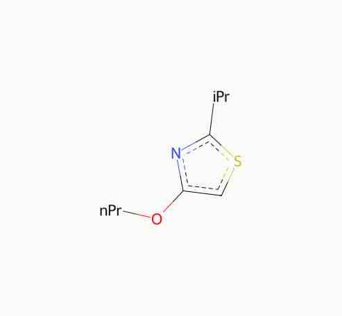 CCCOc1csc(C(C)C)n1